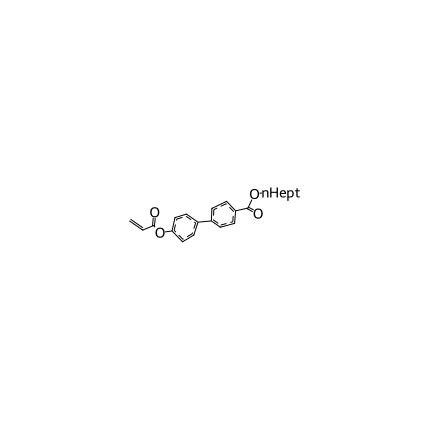 C=CC(=O)Oc1ccc(-c2ccc(C(=O)OCCCCCCC)cc2)cc1